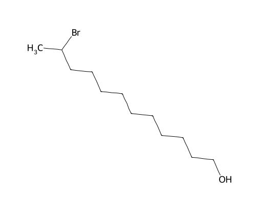 CC(Br)CCCCCCCCCCO